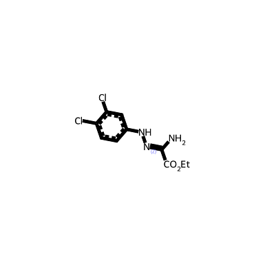 CCOC(=O)/C(N)=N/Nc1ccc(Cl)c(Cl)c1